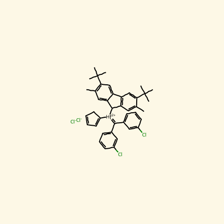 Cc1cc2c(cc1C(C)(C)C)-c1cc(C(C)(C)C)c(C)cc1[CH]2[Hf+2]([C]1=CC=CC1)=[C](c1cccc(Cl)c1)c1cccc(Cl)c1.[Cl-].[Cl-]